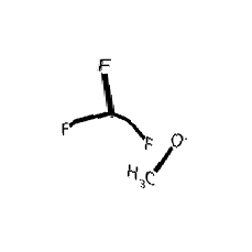 C[O].F[C](F)F